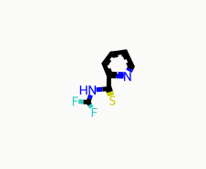 FC(F)NC(=S)c1ccccn1